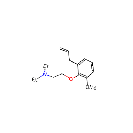 C=CCc1cccc(OC)c1OCCN(CC)CC